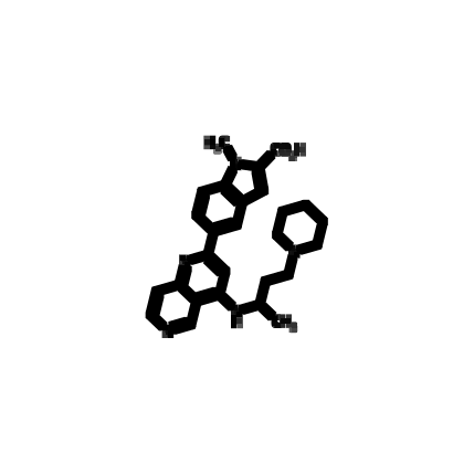 CC(CCN1CCCCC1)Nc1cc(-c2ccc3c(c2)cc(C(=O)O)n3C)nc2ccncc12